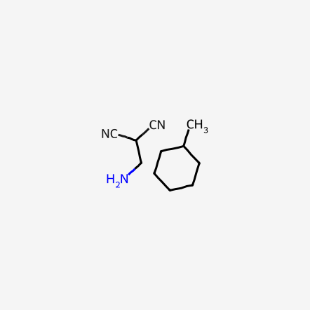 CC1CCCCC1.N#CC(C#N)CN